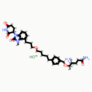 C[C@@H](OCc1ccc(CCCCCOCCCc2cccc3c2n(C)c(=O)n3C2CCC(=O)NC2=O)cc1)[C@@H](N)CCC(N)=O.Cl